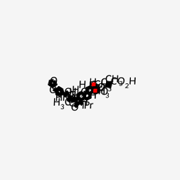 CC(C)C1=C2[C@H]3CC[C@@H]4[C@@]5(C)CC[C@H](OC(=O)[C@H]6C[C@@H](C(=O)O)C6(C)C)C(C)(C)[C@@H]5CC[C@@]4(C)[C@]3(C)CC[C@@]2(NC(=O)C(C)(C)NC(=O)c2ccc(O[C@@H]3CCOC3)cc2)CC1=O